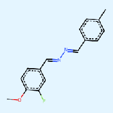 COc1ccc(C=NN=Cc2ccc(C)cc2)cc1F